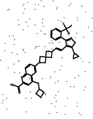 O=C(O)c1cc(OC2COC2)c2cc(N3CC4(CC(C=Cc5c(-c6ccccc6C(F)(F)F)noc5C5CC5)C4)C3)ccc2n1